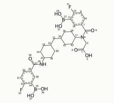 O=C(O)CN(C(=O)c1ccc(F)c(B(O)O)c1)C1CCC(CC2CCC(NC(=O)c3ccc(F)c(B(O)O)c3)CC2)CC1